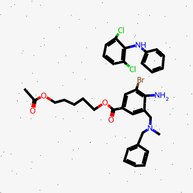 CC(=O)OCCCCCOC(=O)c1cc(Br)c(N)c(CN(C)Cc2ccccc2)c1.Clc1cccc(Cl)c1Nc1ccccc1